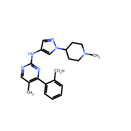 Cc1cnc(Nc2cnn(C3CCN(C)CC3)c2)nc1-c1ccccc1C(=O)O